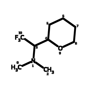 CN(C)C(C1CCCCO1)C(F)(F)F